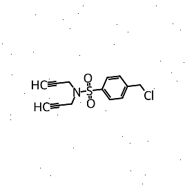 C#CCN(CC#C)S(=O)(=O)c1ccc(CCl)cc1